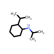 CC(C)NC1CCCCC1C(C)C